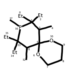 CCC1(CC)C(C)C2(OCCCO2)C(C)C(CC)(CC)P1C